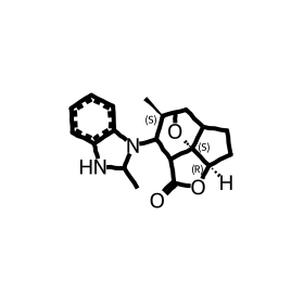 CO[C@]12C3CC[C@H]1OC(=O)C2C(N1c2ccccc2NC1C)[C@@H](C)C3